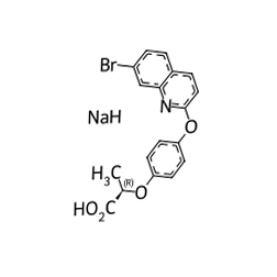 C[C@@H](Oc1ccc(Oc2ccc3ccc(Br)cc3n2)cc1)C(=O)O.[NaH]